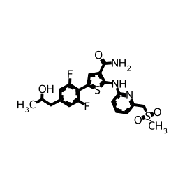 CC(O)Cc1cc(F)c(-c2cc(C(N)=O)c(Nc3cccc(CS(C)(=O)=O)n3)s2)c(F)c1